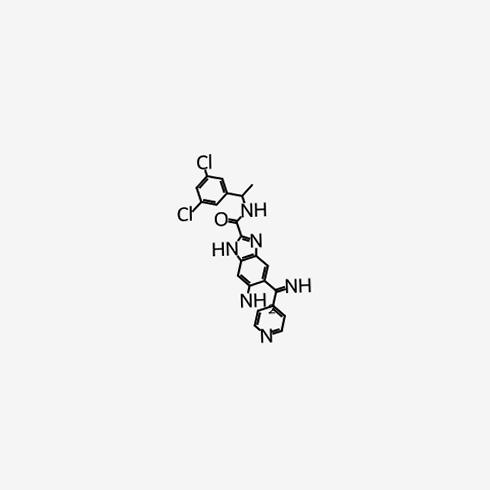 CC(NC(=O)c1nc2cc(C(=N)c3ccncc3)c(N)cc2[nH]1)c1cc(Cl)cc(Cl)c1